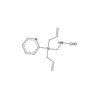 C=CC[Si](CC=C)(CNC=O)c1ccccn1